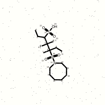 CCC(C(F)(F)C(C)(CC)S(=O)(=O)N1CCCCCCC1)S(=O)(=O)O